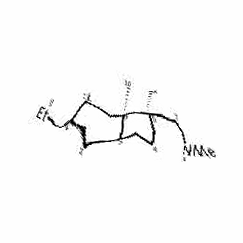 CCC1CC2C[C@](C)(CNC)[C@]2(C)C1